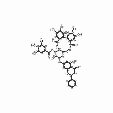 O=C(OC1C(O)C(Oc2cc(O)c3c(c2)OC(c2ccccc2)CC3=O)OC2COC(=O)c3cc(O)c(O)c(O)c3-c3c(cc(O)c(O)c3O)C(=O)OC21)c1cc(O)c(O)c(O)c1